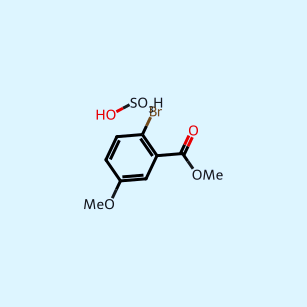 COC(=O)c1cc(OC)ccc1Br.O=S(=O)(O)O